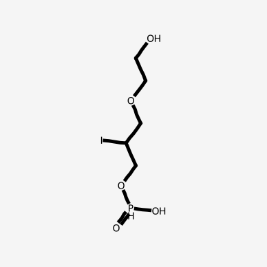 O=[PH](O)OCC(I)COCCO